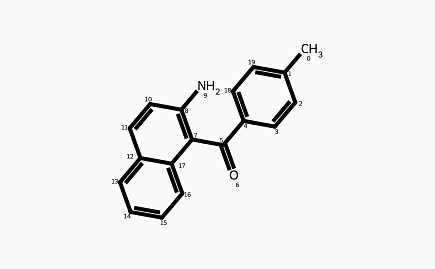 Cc1ccc(C(=O)c2c(N)ccc3ccccc23)cc1